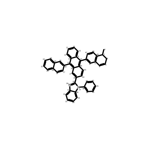 CC1CC=Cc2cc(-c3c4ccccc4c(-c4ccc5ccccc5c4)c4cc(-c5nc6ccccc6n5-c5ccccc5)ccc34)ccc21